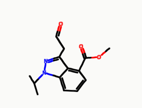 COC(=O)c1cccc2c1c(CC=O)nn2C(C)C